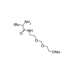 COCCOCOCCNC(=O)C(N)C(C)(C)C